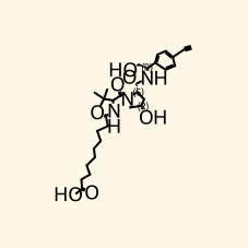 C#Cc1ccc([C@H](CO)NC(=O)[C@@H]2C[C@@H](O)CN2C(=O)C(NC(=O)CCCCCCCCC(=O)O)C(C)(C)C)cc1